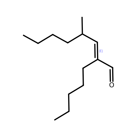 CCCCC/C(C=O)=C\C(C)CCCC